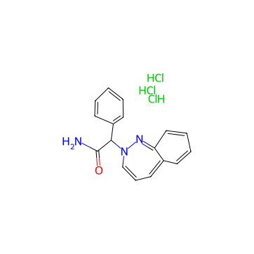 Cl.Cl.Cl.NC(=O)C(c1ccccc1)N1C=CC=c2ccccc2=N1